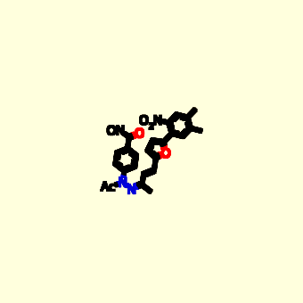 CC(=O)N(/N=C(C)\C=C\c1ccc(-c2cc(C)c(C)cc2[N+](=O)[O-])o1)c1ccc(C(=O)N=O)cc1